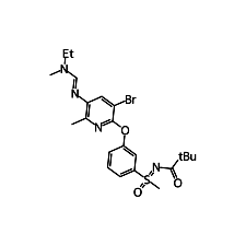 CCN(C)/C=N/c1cc(Br)c(Oc2cccc(S(C)(=O)=NC(=O)C(C)(C)C)c2)nc1C